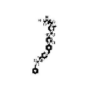 CC1CN(C(=O)Nc2ccn(-c3ccc(CN4CCC([C@H](C)NC(=O)OCc5ccccc5)CC4)cc3)c(=O)n2)CCN1C(=O)C(C)(C)NC(=O)O